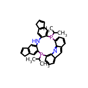 CC(C)p1c2cc3c(cc2[nH]c2cc4c(cc2p(C(C)C)c2cccc5cc6cccc1c6nc52)CC=C4)CC=C3